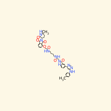 C=C1CCC(N2C(=O)c3cccc(OCC(=O)NCCCCNC(=O)CNC(=O)c4cccc(-c5cc(Nc6ccc(C)cc6)ncn5)c4)c3C2=O)C(=O)N1